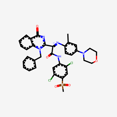 Cc1cc(N2CCOCC2)ccc1/N=C(\C(=O)Nc1cc(Cl)c(S(C)(=O)=O)cc1Cl)c1nc(=O)c2ccccc2n1Cc1ccccc1